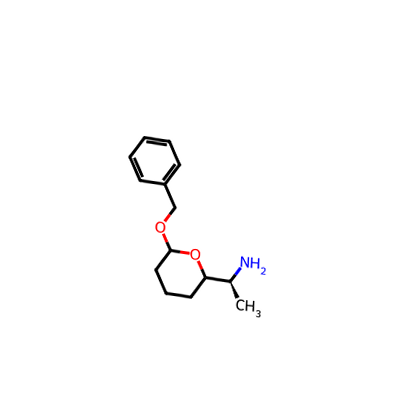 C[C@H](N)C1CCCC(OCc2ccccc2)O1